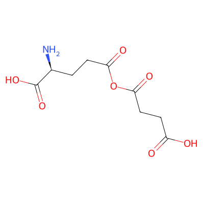 N[C@@H](CCC(=O)OC(=O)CCC(=O)O)C(=O)O